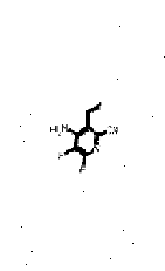 N#Cc1nc(F)c(F)c(N)c1CI